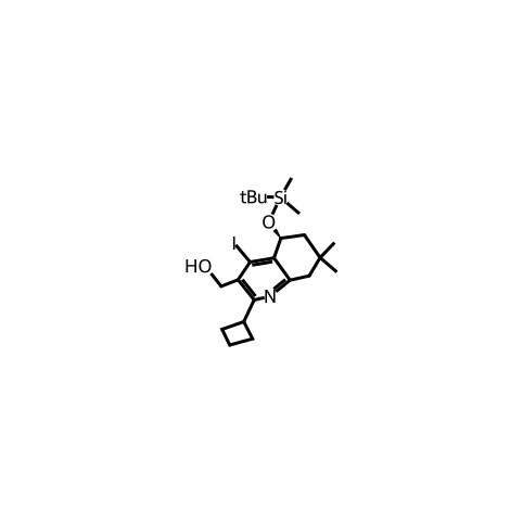 CC1(C)Cc2nc(C3CCC3)c(CO)c(I)c2[C@@H](O[Si](C)(C)C(C)(C)C)C1